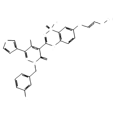 NO/C=C/Oc1ccc2c(c1)P(=O)(O)N=C(c1c(O)c(-c3ccsc3)nn(Cc3cccc(Br)c3)c1=O)N2